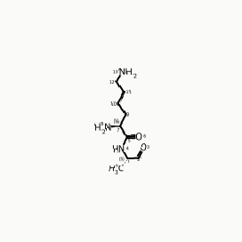 C[C@@H]([C]=O)NC(=O)[C@@H](N)CCCCN